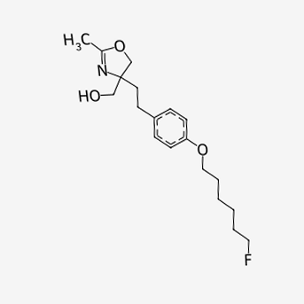 CC1=NC(CO)(CCc2ccc(OCCCCCCF)cc2)CO1